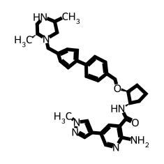 CC1CN(Cc2ccc(-c3ccc(CO[C@H]4CCC[C@@H]4NC(=O)c4cc(-c5cnn(C)c5)cnc4N)cc3)cc2)[C@H](C)CN1